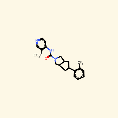 O=C(O)c1cnccc1NC(=O)N1CC2CC(c3ccccc3C(F)(F)F)CC2C1